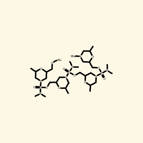 CC1CN(C(C)(C)C)CC(COP(=O)(N(C)C)N2CC(C)OC(COP(=O)(N(C)C)N3CC(C)OC(COP(=O)(N(C)C)N4CC(C)OC(COC(C)(C)C)C4)C3)C2)O1